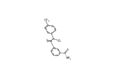 NC(=O)c1cccc(C(=S)N(Cl)c2ccc(C(F)(F)F)cc2)c1